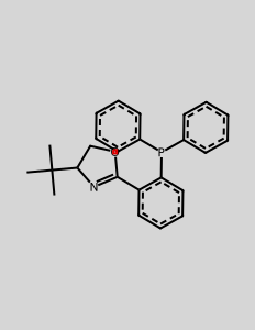 CC(C)(C)C1COC(c2ccccc2P(c2ccccc2)c2ccccc2)=N1